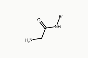 NCC(=O)NBr